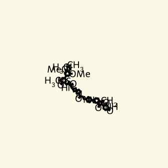 C=C1c2ccc(N3CCN(CCC(=O)N4CCC5(CC(NC(=O)c6cc7c(=O)n(C)cc(-c8cc(OC)c(CN(C)C)c(OC)c8)c7s6)C5)C4)CC3)cc2C(=O)N1C1CCC(=O)NC1=O